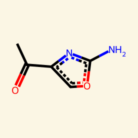 CC(=O)c1coc(N)n1